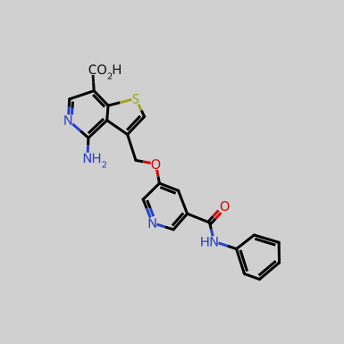 Nc1ncc(C(=O)O)c2scc(COc3cncc(C(=O)Nc4ccccc4)c3)c12